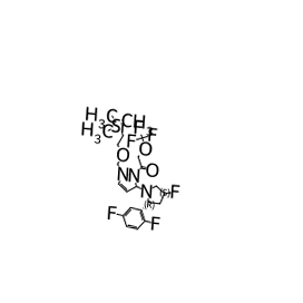 C[Si](C)(C)CCOCN1C=CC(N2C[C@@H](F)C[C@@H]2c2cc(F)ccc2F)N1C(=O)COC(F)(F)F